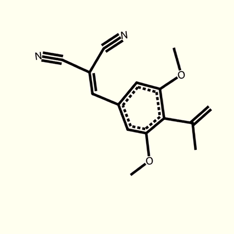 C=C(C)c1c(OC)cc(C=C(C#N)C#N)cc1OC